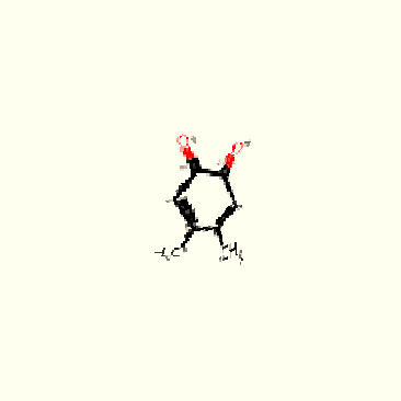 CC1=CC(=O)C(=O)C=C1C